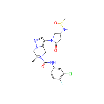 C[C@H]1Cn2ncc(N3CC(N(C)[S+](C)[O-])CC3=O)c2CN1C(=O)Nc1ccc(F)c(Cl)c1